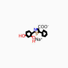 O=C([O-])c1nc(-c2ccc(O)cc2O)sc1-c1ccccc1.[Na+]